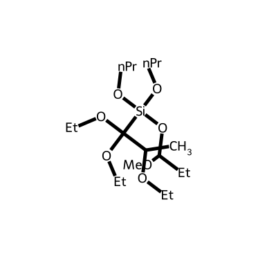 CCCO[Si](OCCC)(OC(CC)OC)C(OCC)(OCC)C(C)OCC